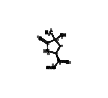 COC(=O)[C@@H]1CC(C)(O)C(=O)N1